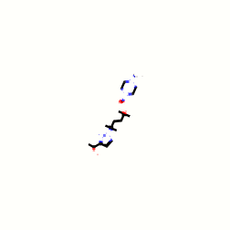 CC(O)c1ccn(C(C)(C)CCC(C)(C)OC(=O)N2CCN(C(C)(C)C)CC2)n1